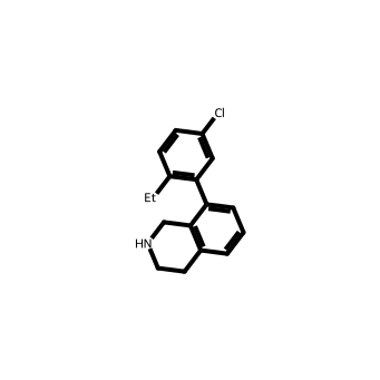 CCc1ccc(Cl)cc1-c1cccc2c1CNCC2